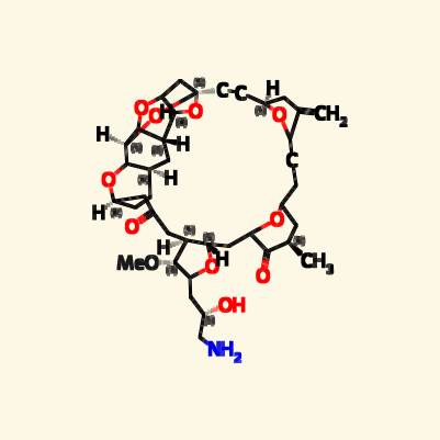 C=C1C[C@@H]2CC[C@@]34CC5OC6[C@@H](O3)C3O[C@H](CC[C@@H]3C[C@H]6[C@H]5O4)CC(=O)C[C@H]3[C@H](CC4OC(CCC1O2)C[C@@H](C)C4=O)OC(C[C@H](O)CN)[C@@H]3OC